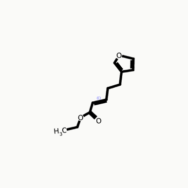 CCOC(=O)/C=C/CCc1ccoc1